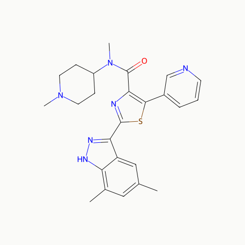 Cc1cc(C)c2[nH]nc(-c3nc(C(=O)N(C)C4CCN(C)CC4)c(-c4cccnc4)s3)c2c1